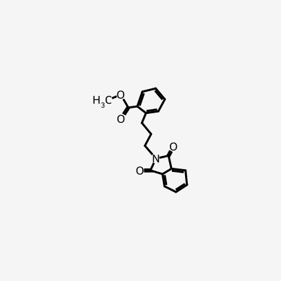 COC(=O)c1ccccc1CCCN1C(=O)c2ccccc2C1=O